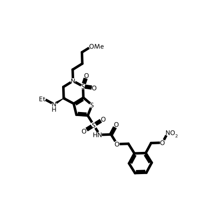 CCN[C@H]1CN(CCCOC)S(=O)(=O)c2sc(S(=O)(=O)NC(=O)OCc3ccccc3CO[N+](=O)[O-])cc21